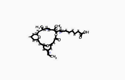 C/C=C1\CC2CC(=O)OC(/C=C/CCCCCC(=O)O)C(C)/C=C/C(C)CC3CCCC(CC(C1)O2)O3